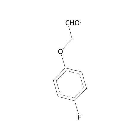 O=[C]COc1ccc(F)cc1